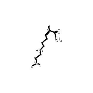 CC(=CCCCNCCN(C)C)C(N)=O